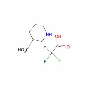 O=C(O)C(F)(F)F.O=C(O)C1CCCNC1